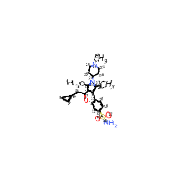 Cc1c(C(=O)CC2CC2)c(-c2ccc(S(N)(=O)=O)cc2)c(C)n1C1CCN(C)CC1